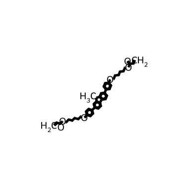 C=CC(=O)OCCCCCCOc1ccc(-c2ccc3c(c2)C(C)c2cc(-c4ccc(OCCCCCCOC(=O)C=C)cc4)ccc2-3)cc1